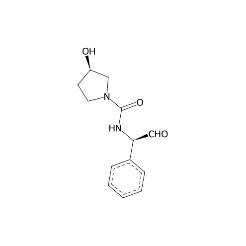 O=C[C@H](NC(=O)N1CC[C@@H](O)C1)c1ccccc1